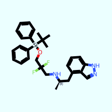 C[C@H](Cc1cccc2[nH]ncc12)NCC(F)(F)CO[Si](c1ccccc1)(c1ccccc1)C(C)(C)C